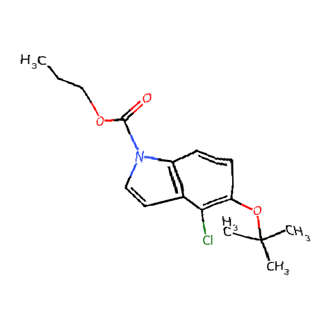 CCCOC(=O)n1ccc2c(Cl)c(OC(C)(C)C)ccc21